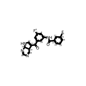 O=C(Nc1cc(F)cc(C(=O)C2=CNC3N=CN=CC23)c1)c1cccc(F)c1